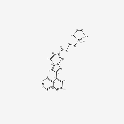 c1ccc2c(-c3cn4nc(OCCCN5CCCCC5)ccc4n3)cccc2c1